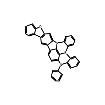 c1ccc(N2c3ccccc3B3c4ccccc4-n4c5cc6oc7ccccc7c6cc5c5ccc2c3c54)cc1